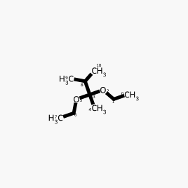 CCOC(C)(OCC)C(C)C